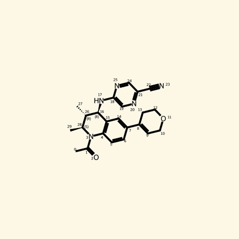 CC(=O)N1c2ccc(C3=CCOCC3)cc2[C@H](Nc2cnc(C#N)cn2)[C@@H](C)[C@@H]1C